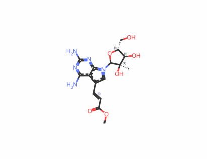 COC(=O)/C=C/c1cn(C2O[C@H](CO)[C@@H](O)[C@@]2(C)O)c2nc(N)nc(N)c12